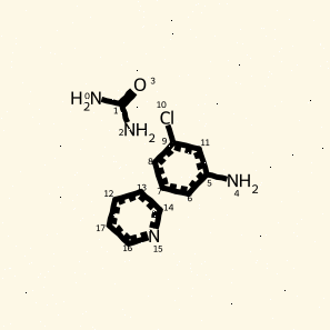 NC(N)=O.Nc1cccc(Cl)c1.c1ccncc1